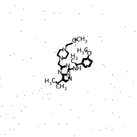 COCCN1CCN(Cc2nc(NC(C)c3cccc(OC)c3)n3ncc(C(C)C)c3n2)CC1